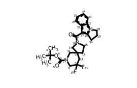 CC(C)(C)OC(=O)N1CC(F)(F)CC2(CCN(C(=O)c3c4n(c5ccccc35)CCC4)C2)C1